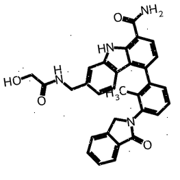 Cc1c(-c2ccc(C(N)=O)c3[nH]c4cc(CNC(=O)CO)ccc4c23)cccc1N1Cc2ccccc2C1=O